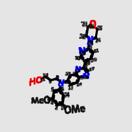 COc1cc(OC)cc(N(CCCO)c2ccc3ncc(-c4ccc(N5CCOCC5)nc4)nc3c2)c1